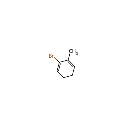 CC1=CCCC=C1Br